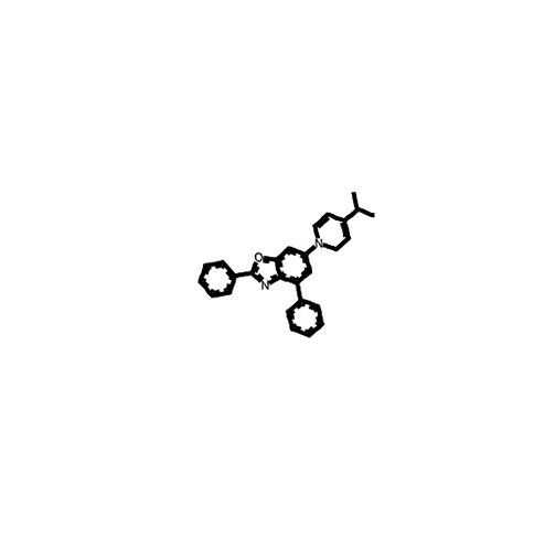 CC(C)C1=CCN(c2cc(-c3ccccc3)c3nc(-c4ccccc4)oc3c2)C=C1